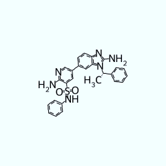 C[C@@H](c1ccccc1)n1c(N)nc2ccc(-c3cnc(N)c(S(=O)(=O)Nc4ccccc4)c3)cc21